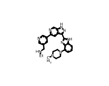 CCNCc1cncc(-c2cc3c(-c4nc5c(N6CCN(C)CC6)cccc5[nH]4)n[nH]c3cn2)c1